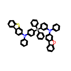 c1ccc(N(c2cccc([Si](c3ccccc3)(c3ccccc3)c3ccc(N(c4ccccc4)c4ccc5c(c4)sc4ccccc45)cc3)c2)c2ccc3c(c2)oc2ccccc23)cc1